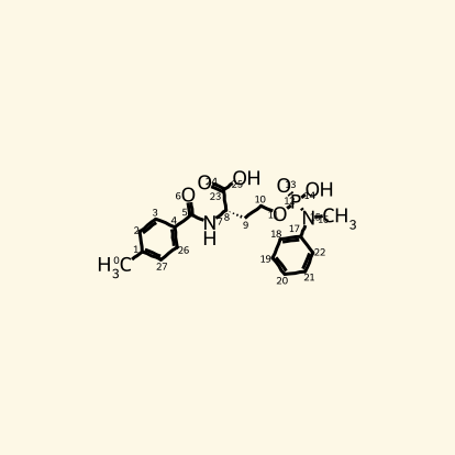 Cc1ccc(C(=O)N[C@@H](CCOP(=O)(O)N(C)c2ccccc2)C(=O)O)cc1